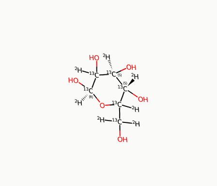 [2H][13C]([2H])(O)[13C]1([2H])O[13C@@]([2H])(O)[13C]([2H])(O)[13C@@]([2H])(O)[13C@]1([2H])O